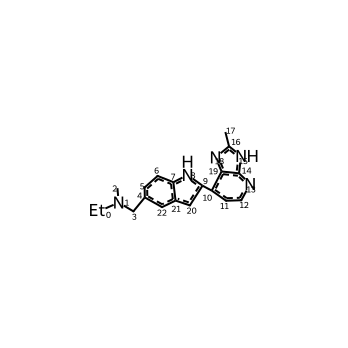 CCN(C)Cc1ccc2[nH]c(-c3ccnc4[nH]c(C)nc34)cc2c1